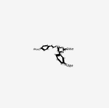 COc1ccc(CCNc2cc(-c3cccc(OC)c3)nc(SC)n2)cc1